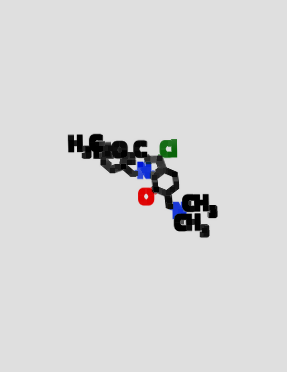 CCOC(=O)c1c(Cl)c2c(n1Cc1ccc(C)cc1)C(=O)/C(=C/N(C)C)CC2